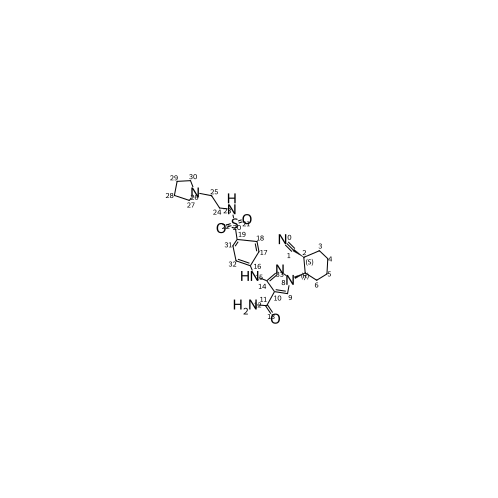 N#C[C@H]1CCCC[C@H]1n1cc(C(N)=O)c(Nc2ccc(S(=O)(=O)NCCN3CCCC3)cc2)n1